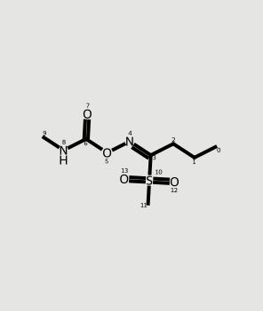 CCCC(=NOC(=O)NC)S(C)(=O)=O